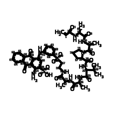 C=CC(=O)NC(C)C(=O)NC(C)C(=O)N1CCCC1C(=O)NC(C(=O)NC(C)C(=O)NC(C)C(=O)NCCS(=O)(=O)c1cccc(Nc2cc(S(=O)(=O)O)c(N)c3c2C(=O)c2ccccc2C3=O)c1)C(C)C